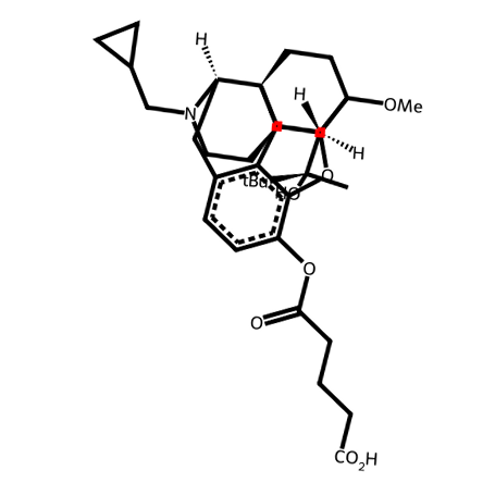 COC12CC[C@@]3(C[C@@H]1[C@](C)(O)C(C)(C)C)[C@H]1Cc4ccc(OC(=O)CCCC(=O)O)c5c4[C@@]3(CCN1CC1CC1)[C@H]2O5